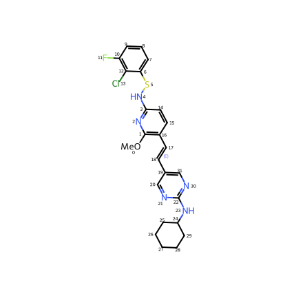 COc1nc(NSc2cccc(F)c2Cl)ccc1/C=C/c1cnc(NC2CCCCC2)nc1